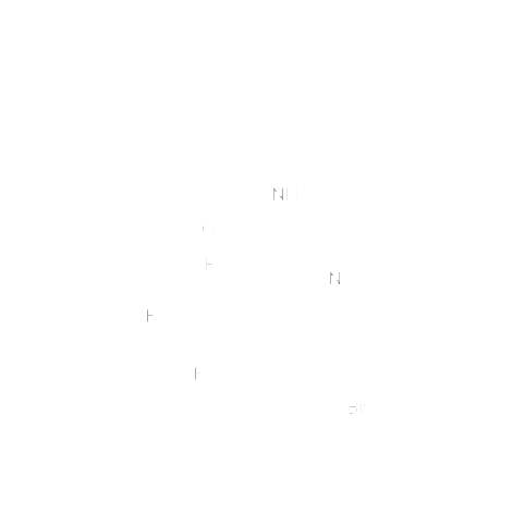 C#CC(C)NC(=O)c1ncc(Br)c(C)c1C(F)(F)F